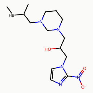 CBC(C)CN1CCCN(CC(O)Cn2ccnc2[N+](=O)[O-])C1